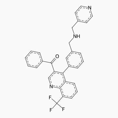 O=C(c1ccccc1)c1cnc2c(C(F)(F)F)cccc2c1-c1cccc(CNCc2ccncc2)c1